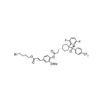 COc1cc(/C=C/C(=O)OCCCCBr)ccc1OC(=O)CC[C@H]1CC[C@@](c2cc(F)ccc2F)(S(=O)(=O)c2ccc(C(F)(F)F)cc2)CC1